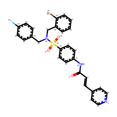 O=C(/C=C/c1ccncc1)Nc1ccc(S(=O)(=O)N(Cc2ccc(F)cc2)Cc2ccccc2Br)cc1